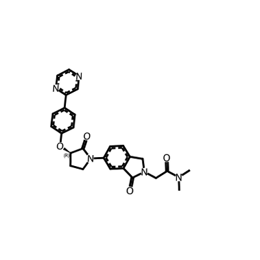 CN(C)C(=O)CN1Cc2ccc(N3CC[C@@H](Oc4ccc(-c5cnccn5)cc4)C3=O)cc2C1=O